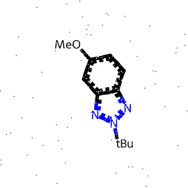 COc1ccc2nn(C(C)(C)C)nc2c1